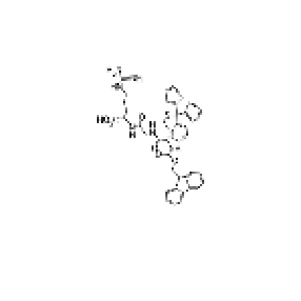 N=C(N)NCCC[C@H](NC(=O)CNC(=O)[C@H](CCSC(c1ccccc1)(c1ccccc1)c1ccccc1)NC(=O)OCC1c2ccccc2-c2ccccc21)C(=O)O